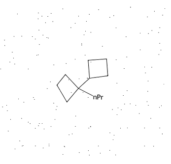 CCCC1([C]2CCC2)CCC1